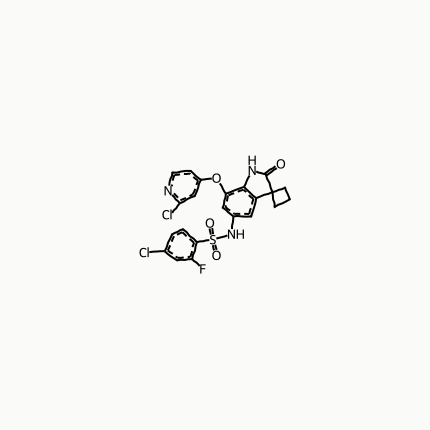 O=C1Nc2c(Oc3ccnc(Cl)c3)cc(NS(=O)(=O)c3ccc(Cl)cc3F)cc2C12CCC2